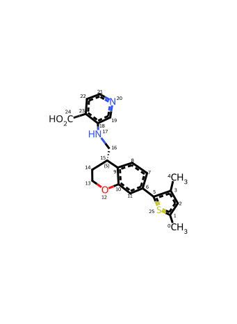 Cc1cc(C)c(-c2ccc3c(c2)OCC[C@@H]3CNc2cnccc2C(=O)O)s1